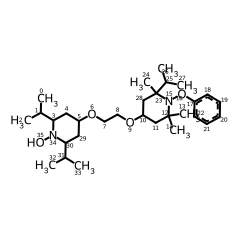 CC(C)C1CC(OCCOC2CC(C)(C)N(Oc3ccccc3)C(C)(C(C)C)C2)CC(C(C)C)N1O